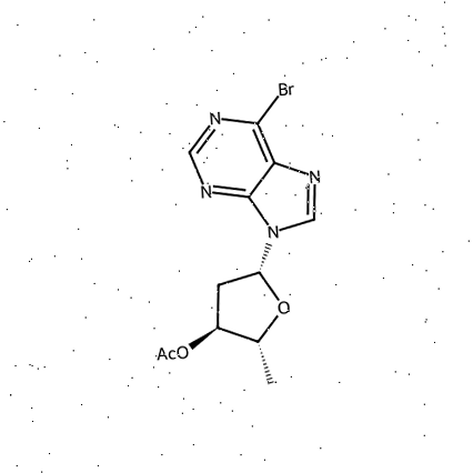 [CH2][C@H]1O[C@@H](n2cnc3c(Br)ncnc32)C[C@@H]1OC(C)=O